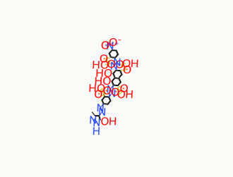 Cc1n[nH]c(O)c1/N=N/c1ccc(/N=N/c2c(S(=O)(=O)O)cc3cc(S(=O)(=O)O)c(/N=N/c4ccc([N+](=O)[O-])cc4S(=O)(=O)O)c(O)c3c2O)c(S(=O)(=O)O)c1